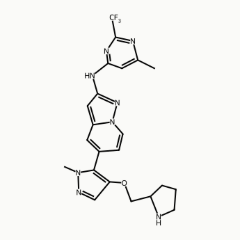 Cc1cc(Nc2cc3cc(-c4c(OCC5CCCN5)cnn4C)ccn3n2)nc(C(F)(F)F)n1